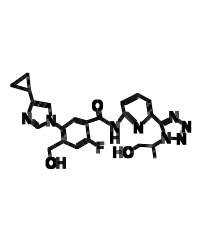 CC(CO)n1nnnc1-c1cccc(NC(=O)c2cc(-n3cnc(C4CC4)c3)c(CO)cc2F)n1